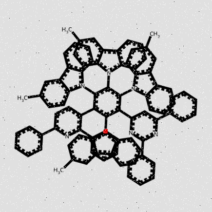 Cc1ccc2c(c1)c1ccccc1n2-c1c(-c2cc(-c3ccccc3)nc(-c3ccccc3)n2)c(-n2c3ccccc3c3cc(C)ccc32)c(-n2c3ccccc3c3cc(C)ccc32)c(-n2c3ccccc3c3cc(C)ccc32)c1-c1ccc(-c2ccccc2)nc1-c1ccccc1